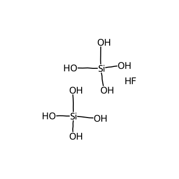 F.O[Si](O)(O)O.O[Si](O)(O)O